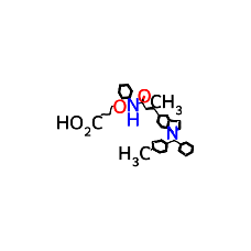 CC(=CC(=O)Nc1ccccc1OCCCC(=O)O)c1ccc2c(ccn2C(c2ccccc2)c2ccc(C)cc2)c1